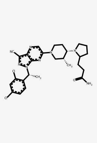 C[C@@H]1CN(c2cnc3c(C#N)nn([C@H](C)c4ccc(Cl)cc4Cl)c3n2)CC[C@@H]1N1CCCC1CCC(N)=O